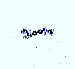 C#CC(N/C(=C\C)c1ccc(-c2ccc(-c3cnc([C@@H]4C[C@H]5C[C@H]5N4)[nH]3)cc2)cc1)[C@@H]1C[C@H]2C[C@H]2N1